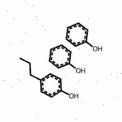 CCCc1ccc(O)cc1.Oc1ccccc1.Oc1ccccc1